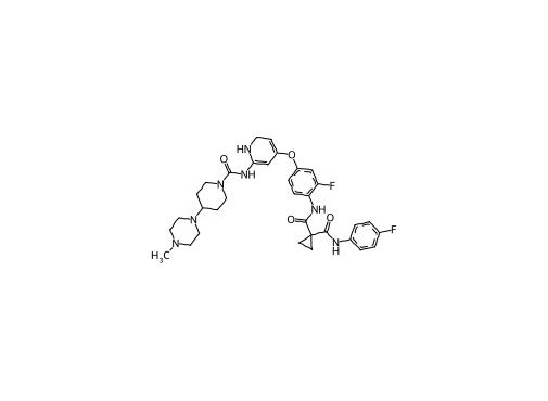 CN1CCN(C2CCN(C(=O)NC3=CC(Oc4ccc(NC(=O)C5(C(=O)Nc6ccc(F)cc6)CC5)c(F)c4)=CCN3)CC2)CC1